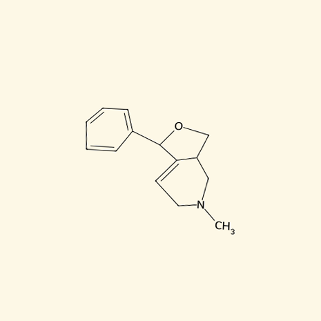 CN1CC=C2C(COC2c2ccccc2)C1